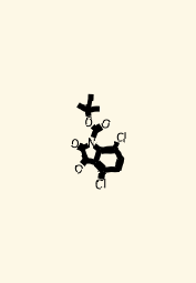 CC(C)(C)OC(=O)N1C(=O)C(=O)c2c(Cl)ccc(Cl)c21